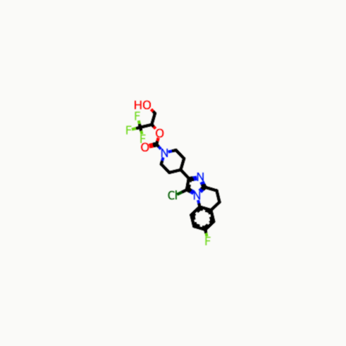 O=C(OC(CO)C(F)(F)F)N1CCC(c2nc3n(c2Cl)-c2ccc(F)cc2CC3)CC1